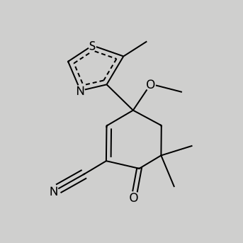 COC1(c2ncsc2C)C=C(C#N)C(=O)C(C)(C)C1